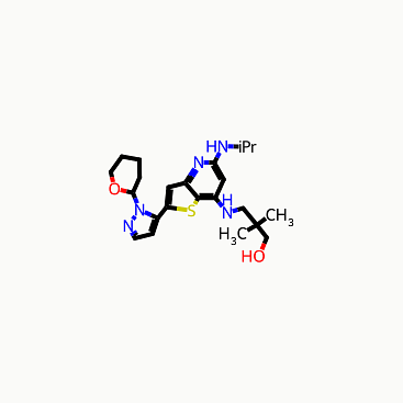 CC(C)Nc1cc(NCC(C)(C)CO)c2sc(-c3ccnn3C3CCCCO3)cc2n1